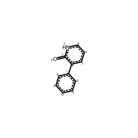 O=c1[nH]cccc1-c1cc[c]cc1